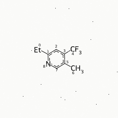 CCc1cc(C(F)(F)F)c(C)cn1